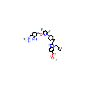 CN/C=C1/C=CC(COc2nc(N3CCC4(CC3)CC4c3nc4ccc(C(=O)OC)cc4n3CC3CCO3)c(F)cc2F)=CC1=N